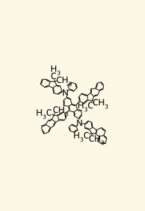 CC1(C)c2ccccc2-c2ccc(N(c3ccccc3)c3ccc4c(-c5ccc6c(c5)C(C)(C)c5cc7ccccc7cc5-6)c5cc(N(c6ccccc6)c6ccc7c(c6)C(C)(C)c6c-7ccc7ccccc67)ccc5c(-c5ccc6c(c5)C(C)(C)c5cc7ccccc7cc5-6)c4c3)cc21